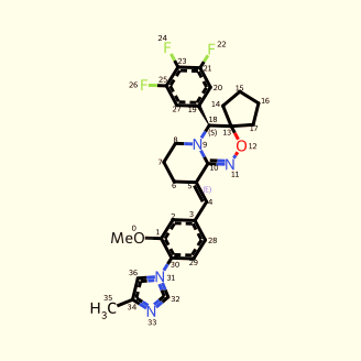 COc1cc(/C=C2\CCCN3C2=NOC2(CCCC2)[C@@H]3c2cc(F)c(F)c(F)c2)ccc1-n1cnc(C)c1